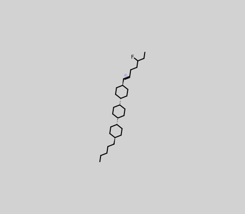 CCCCC[C@H]1CC[C@H](C2CCC([C@H]3CC[C@H](/C=C/CCC(F)CC)CC3)CC2)CC1